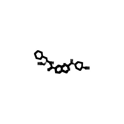 O=C(N[C@H](CO)CC1CCCCC1)c1ccc2cnc(N[C@H]3CC[C@H](O)CC3)nc2c1